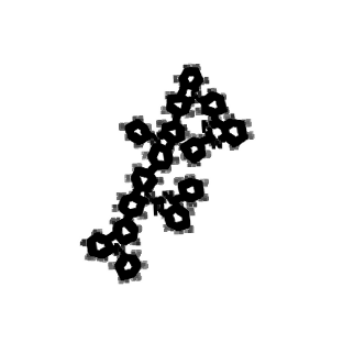 c1ccc(-c2nc(-c3cccc(-n4c5ccccc5c5ccc(-c6ccc7c8ccc(-c9ccc%10c%11ccc(-c%12ccc%13c(c%12)c%12ccccc%12n%13-c%12ccccc%12)cc%11n(-c%11nc(-c%12ccccc%12)c%12ccccc%12n%11)c%10c9)cc8n(-c8ccccc8)c7c6)cc54)c3)c3ccccc3n2)cc1